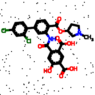 CN1CCC(OC(=O)c2ccc(-c3ccc(Cl)cc3Cl)cc2NC(=O)c2cc(O)c(C(=O)O)cc2C(=O)O)C1